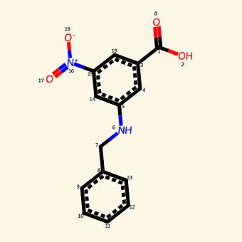 O=C(O)c1cc(NCc2ccccc2)cc([N+](=O)[O-])c1